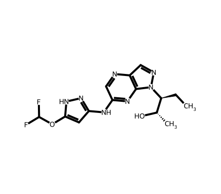 CC[C@@H]([C@H](C)O)n1ncc2ncc(Nc3cc(OC(F)F)[nH]n3)nc21